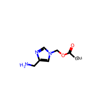 CC(C)(C)C(=O)OCn1cnc(CN)c1